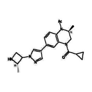 CC(=O)N1c2ccc(-c3cnn(C4CN[C@H]4C)c3)cc2N(C(=O)C2CC2)C[C@@H]1C